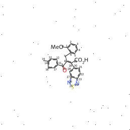 COc1ccccc1CC(C(=O)c1ccc(C)cc1)=C(C(=O)O)c1ccc2nsnc2c1